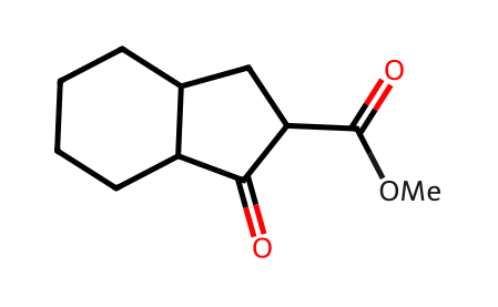 COC(=O)C1CC2CCCCC2C1=O